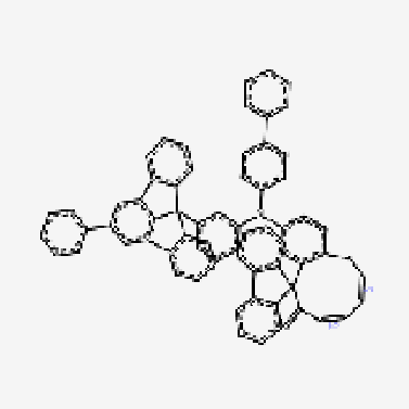 C=C1/C=C\C=C/Cc2ccc(N(c3ccc(-c4ccccc4)cc3)c3cccc(C45c6ccccc6-c6cc(-c7ccccc7)cc(c64)-c4ccccc45)c3)cc2C12c1ccccc1-c1ccccc12